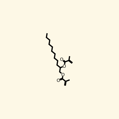 C=C(C)C(=O)OCC(CCCCCCCCCC)OC(=O)C(=C)C